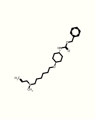 C=CCN(C)CCCCCCO[C@H]1CC[C@H](NC(=O)OCc2ccccc2)CC1